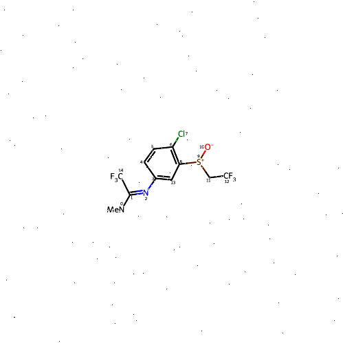 CN/C(=N/c1ccc(Cl)c([S+]([O-])CC(F)(F)F)c1)C(F)(F)F